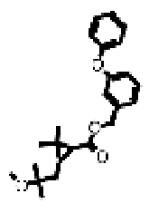 COC(C)(C)CC1C(C(=O)OCc2cccc(Oc3ccccc3)c2)C1(C)C